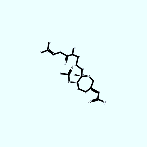 CC(=O)O[C@@H]1CCC(=CC(=O)O)CO[C@@]1(C)CCCC(C)C(=O)CC=C(C)C